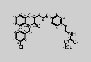 CC(C)(C)OC(=O)NCCc1ccc(OCCC2Oc3ccccc3N(Cc3cccc(Cl)c3)C2=O)cc1